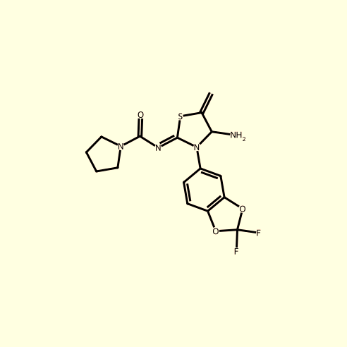 C=C1S/C(=N\C(=O)N2CCCC2)N(c2ccc3c(c2)OC(F)(F)O3)C1N